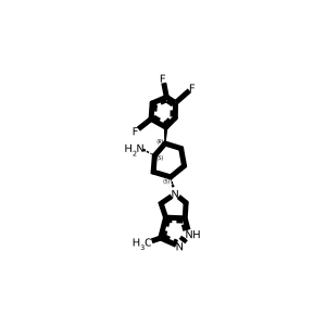 Cc1n[nH]c2c1CN([C@H]1CC[C@H](c3cc(F)c(F)cc3F)[C@@H](N)C1)C2